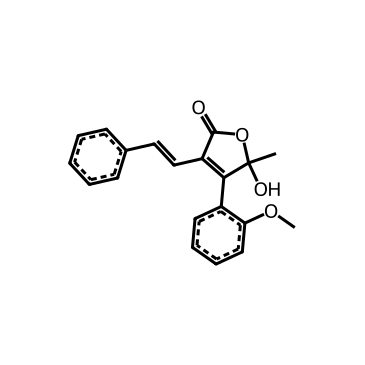 COc1ccccc1C1=C(/C=C/c2ccccc2)C(=O)OC1(C)O